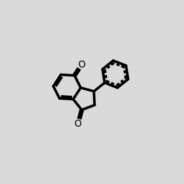 O=C1CC(c2ccccc2)C2C(=O)C=CC=C12